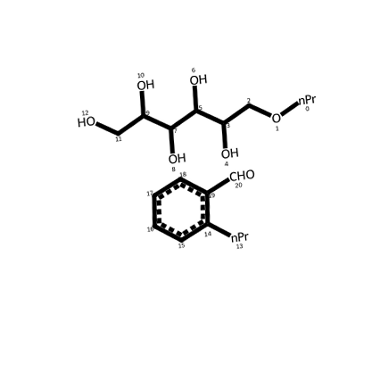 CCCOCC(O)C(O)C(O)C(O)CO.CCCc1ccccc1C=O